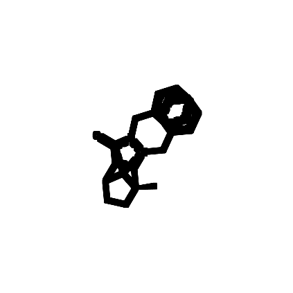 CC1(C)C2CC[C@@]1(C)c1c2c(=O)n(Cc2ccccc2)n1Cc1ccccc1